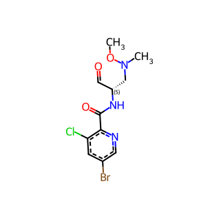 CON(C)C[C@@H](C=O)NC(=O)c1ncc(Br)cc1Cl